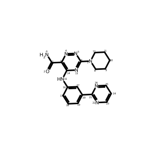 NC(=O)c1nnc(N2CCCCC2)nc1Nc1cccc(-c2ncccn2)c1